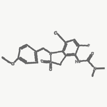 COc1ccc(CN2c3c(Cl)cc(F)c(NC(=O)N(C)C)c3CS2(=O)=O)cc1